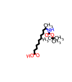 CC(CCCCCCCCCC(=O)O)NC(=O)OC(C)(C)C